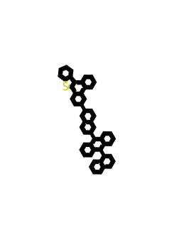 c1ccc2c(-c3c4ccccc4c(-c4ccc5cc(-c6ccc7c(c6)c6ccccc6c6c8ccccc8sc76)ccc5c4)c4ccccc34)cccc2c1